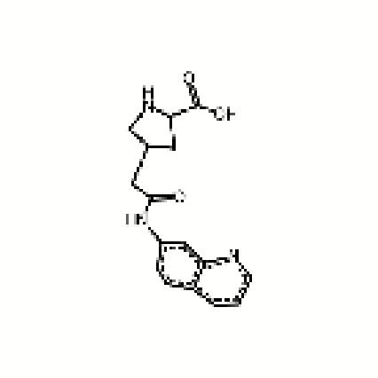 O=C(CC1CNC(C(=O)O)C1)Nc1ccc2cccnc2c1